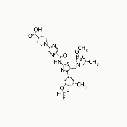 COCCN(Cc1sc(NC(=O)c2cnc(N3CCC(C(=O)O)CC3)cn2)nc1-c1cc(C)cc(OC(F)(F)F)c1)CC(C)C